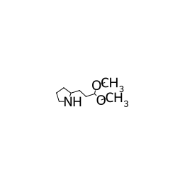 COC(CCC1CCCN1)OC